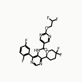 O=C(Nc1c(-c2cc(F)ccc2F)ncnc1C1CCC(F)(F)CO1)c1cnc(OCC(F)F)nc1